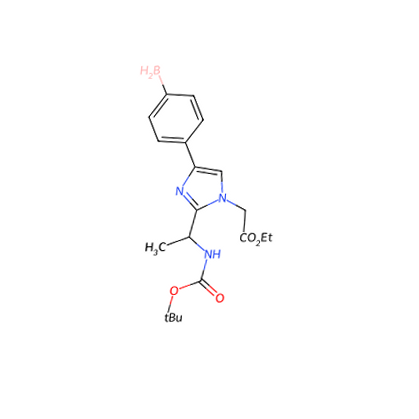 Bc1ccc(-c2cn(CC(=O)OCC)c(C(C)NC(=O)OC(C)(C)C)n2)cc1